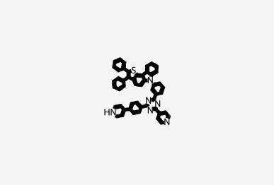 C1=CC(c2ccc(-c3nc(-c4ccncc4)nc(-c4cccc(-n5c6ccccc6c6c7sc(-c8ccccc8)c(-c8ccccc8)c7ccc65)c4)n3)cc2)=CCN1